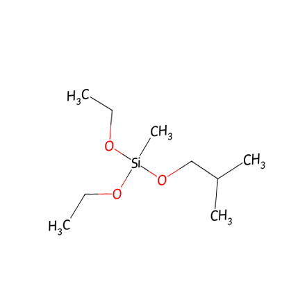 CCO[Si](C)(OCC)OCC(C)C